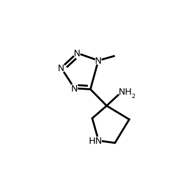 Cn1nnnc1C1(N)CCNC1